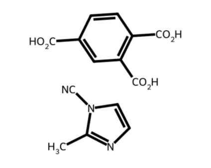 Cc1nccn1C#N.O=C(O)c1ccc(C(=O)O)c(C(=O)O)c1